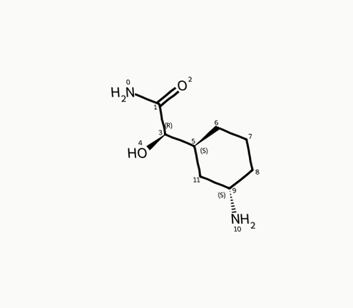 NC(=O)[C@H](O)[C@H]1CCC[C@H](N)C1